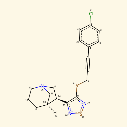 Clc1ccc(C#CCSc2nsnc2[C@@H]2CN3CCC[C@H]2C3)cc1